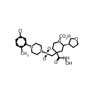 Cc1ccc(Cl)cc1N1CCN(S(=O)(=O)CC2(C(=O)NO)CCN(C(=O)O)C([C@@H]3CCOC3)C2)CC1